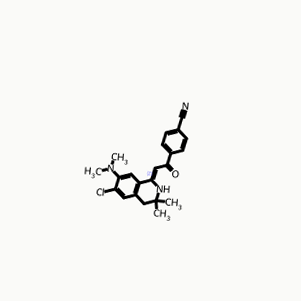 CN(C)c1cc2c(cc1Cl)CC(C)(C)N/C2=C\C(=O)c1ccc(C#N)cc1